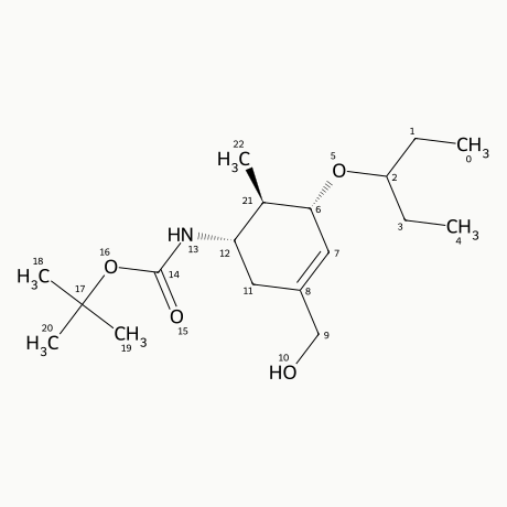 CCC(CC)O[C@@H]1C=C(CO)C[C@H](NC(=O)OC(C)(C)C)[C@H]1C